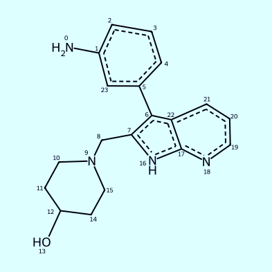 Nc1cccc(-c2c(CN3CCC(O)CC3)[nH]c3ncccc23)c1